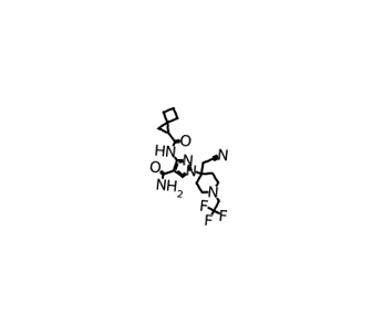 N#CCC1(n2cc(C(N)=O)c(NC(=O)C3CC34CCC4)n2)CCN(CC(F)(F)F)CC1